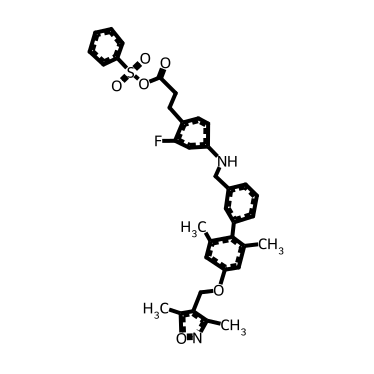 Cc1cc(OCc2c(C)noc2C)cc(C)c1-c1cccc(CNc2ccc(CCC(=O)OS(=O)(=O)c3ccccc3)c(F)c2)c1